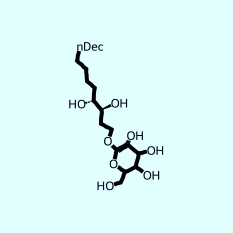 CCCCCCCCCCCCCC[C@@H](O)[C@@H](O)CCOC1=C(O)C(O)C(O)C(CO)O1